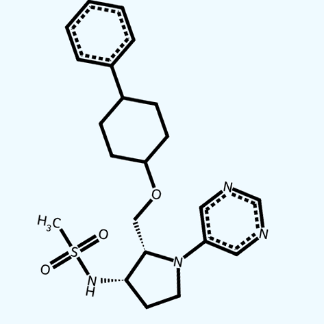 CS(=O)(=O)N[C@H]1CCN(c2cncnc2)[C@H]1COC1CCC(c2ccccc2)CC1